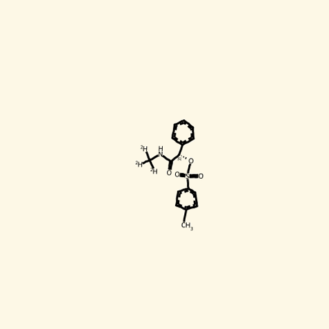 [2H]C([2H])([2H])NC(=O)[C@@H](OS(=O)(=O)c1ccc(C)cc1)c1ccccc1